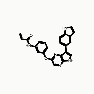 C=CC(=O)Nc1cccc(Oc2cnc3[nH]cc(-c4ccc5[nH]ccc5c4)c3n2)c1